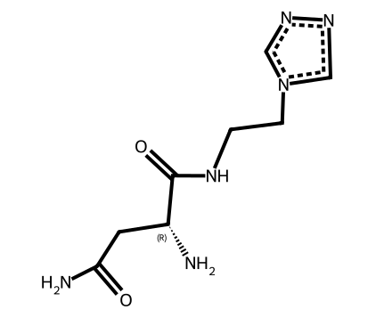 NC(=O)C[C@@H](N)C(=O)NCCn1cnnc1